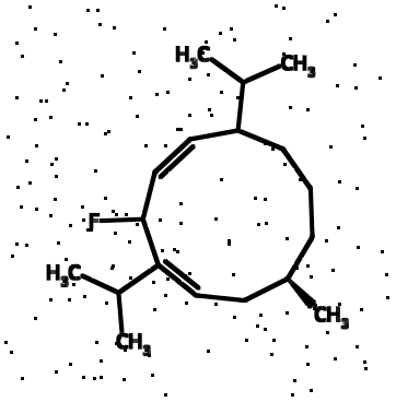 CC(C)C1=CC[C@H](C)CCCC(C(C)C)C=CC1F